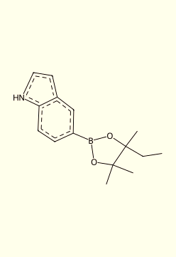 CCC1(C)OB(c2ccc3[nH]ccc3c2)OC1(C)C